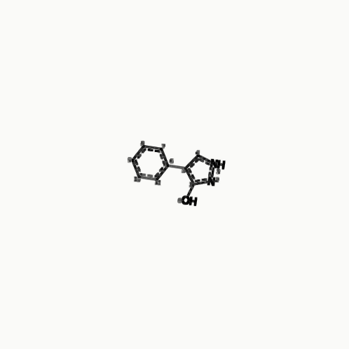 Oc1n[nH]cc1-c1ccccc1